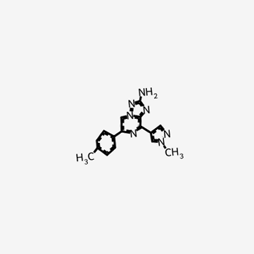 Cc1ccc(-c2cn3nc(N)nc3c(-c3cnn(C)c3)n2)cc1